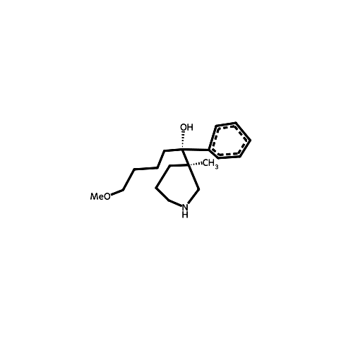 COCCCC[C@@](O)(c1ccccc1)[C@]1(C)CCCNC1